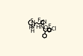 O=C(CC(c1ccc(Cl)c(F)c1)C1CCCCC1)Nc1cncc(F)c1CCC1CN[C@@H]2CCCSN1C2